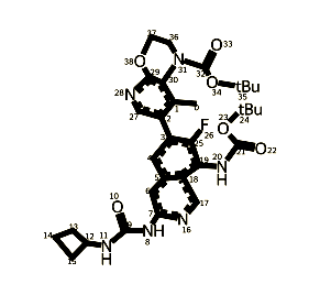 Cc1c(-c2cc3cc(NC(=O)NC4CCC4)ncc3c(NC(=O)OC(C)(C)C)c2F)cnc2c1N(C(=O)OC(C)(C)C)CCO2